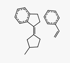 C=Cc1ccccc1.CC1CCC(=C2CCc3ccccc32)C1